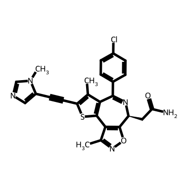 Cc1noc2c1-c1sc(C#Cc3cncn3C)c(C)c1C(c1ccc(Cl)cc1)=N[C@H]2CC(N)=O